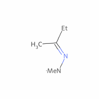 CCC(C)=N[N]C